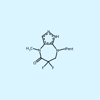 CCCC(C)N1CC(F)(F)C(=O)N(C)c2cn[nH]c21